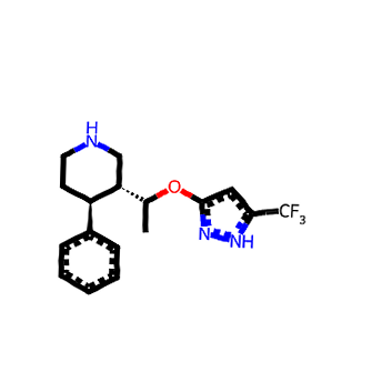 CC(Oc1cc(C(F)(F)F)[nH]n1)[C@H]1CNCC[C@@H]1c1ccccc1